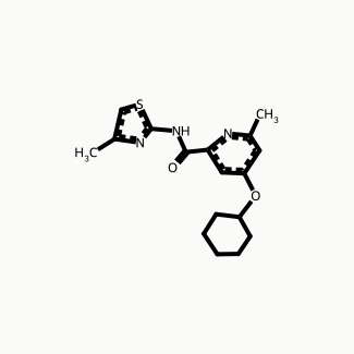 Cc1cc(OC2CCCCC2)cc(C(=O)Nc2nc(C)cs2)n1